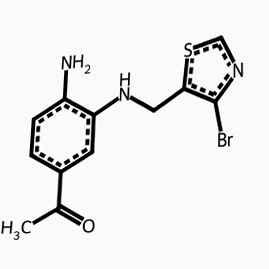 CC(=O)c1ccc(N)c(NCc2scnc2Br)c1